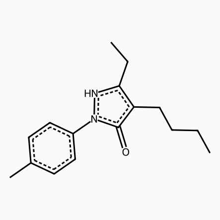 CCCCc1c(CC)[nH]n(-c2ccc(C)cc2)c1=O